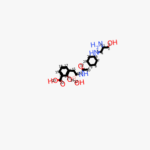 NC(CO)CN[C@H]1CC[C@H](CC(=O)N[C@H]2Cc3cccc(C(=O)O)c3OB2O)CC1